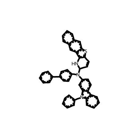 C1=CC(N(c2ccc(-c3ccccc3)cc2)c2ccc3c4ccccc4n(-c4ccccc4)c3c2)Nc2c1sc1cc3ccccc3cc21